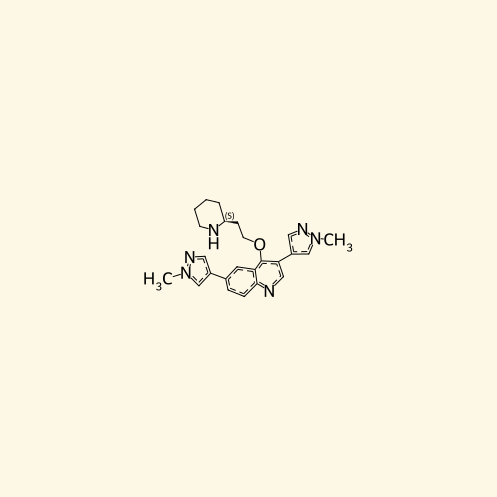 Cn1cc(-c2ccc3ncc(-c4cnn(C)c4)c(OCC[C@@H]4CCCCN4)c3c2)cn1